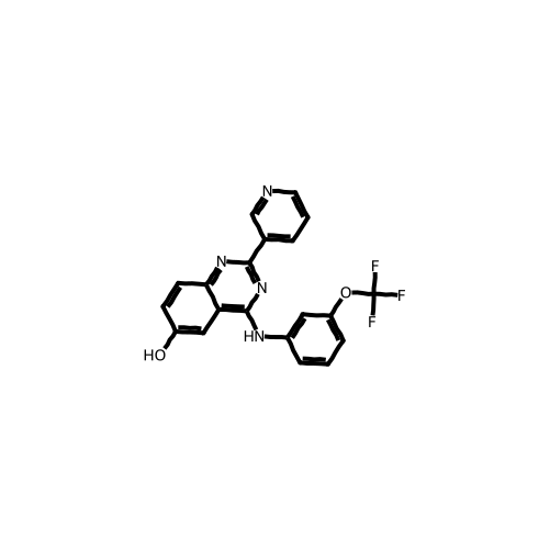 Oc1ccc2nc(-c3cccnc3)nc(Nc3cccc(OC(F)(F)F)c3)c2c1